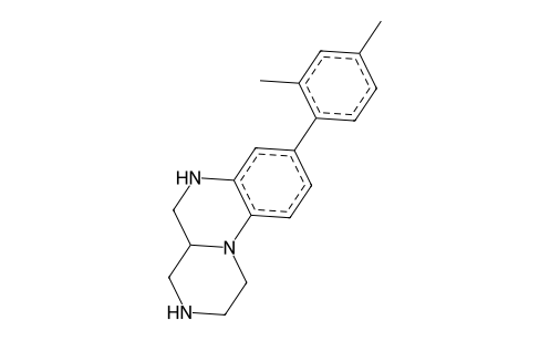 Cc1ccc(-c2ccc3c(c2)NCC2CNCCN32)c(C)c1